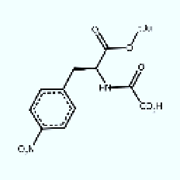 CC(C)(C)OC(=O)[C@H](Cc1ccc([N+](=O)[O-])cc1)NC(=O)C(=O)O